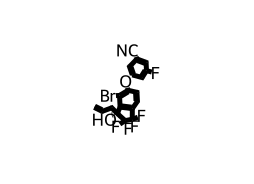 C=CC[C@@]1(O)c2c(ccc(Oc3cc(F)cc(C#N)c3)c2Br)C(F)(F)C1(F)F